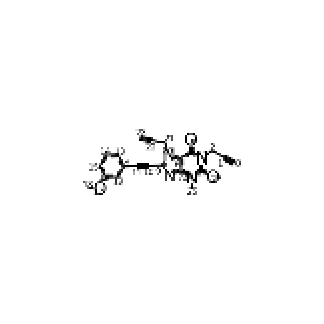 C#CCn1c(=O)c2c(nc(C#Cc3cccc(OC)c3)n2CC#C)n(C)c1=O